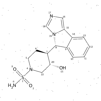 NS(=O)(=O)N1CC[C@@H]([C@H]2c3ccccc3-c3cncn32)[C@H](O)C1